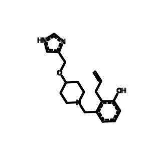 C=CCc1c(O)cccc1CN1CCC(OCc2c[nH]cn2)CC1